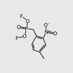 Cc1ccc(CP(=O)(OF)OF)c([N+](=O)[O-])c1